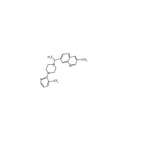 Cc1cnc2cc(C(C)N3CCN(c4ncccc4C(F)(F)F)CC3)ccc2c1